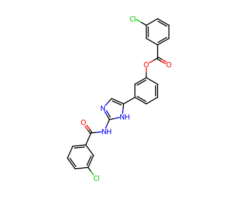 O=C(Nc1ncc(-c2cccc(OC(=O)c3cccc(Cl)c3)c2)[nH]1)c1cccc(Cl)c1